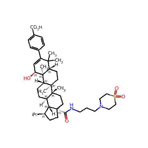 CC(C)[C@@H]1CC[C@]2(C(=O)NCCCN3CCS(=O)(=O)CC3)CC[C@]3(C)[C@H](CC[C@@H]4[C@@]5(C)[C@@H](O)C=C(c6ccc(C(=O)O)cc6)C(C)(C)[C@@H]5CC[C@]43C)[C@@H]12